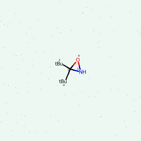 CC(C)(C)C1(C(C)(C)C)NO1